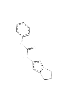 O=C(Nc1cc2n(n1)CCC2)Oc1ccccc1